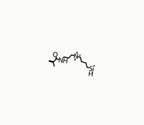 C=C(C)C(=O)NCCC[N+](C)(C)CCCC[SiH](C)C